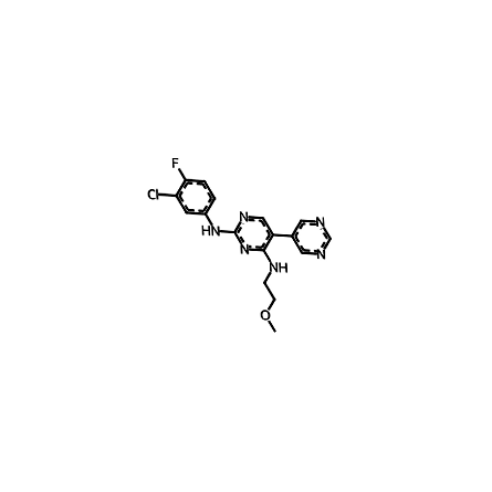 COCCNc1nc(Nc2ccc(F)c(Cl)c2)ncc1-c1cncnc1